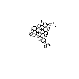 C=CC(=O)N1CCN(C2=NC(O)N(c3c(C)ccnc3C(C)C)c3nc(-c4c(Cl)c(N)cc(F)c4Cl)c4ccoc4c32)[C@@H](C)C1